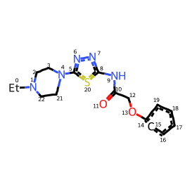 CCN1CCN(c2nnc(NC(=O)COc3ccccc3)s2)CC1